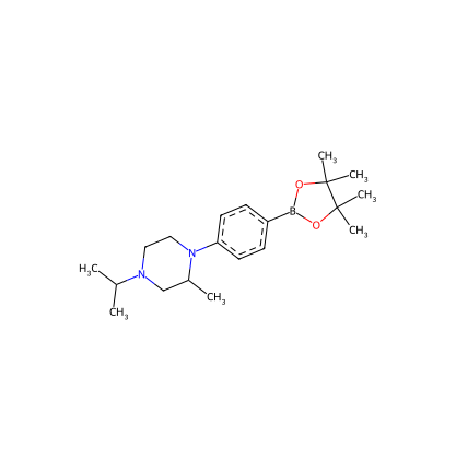 CC(C)N1CCN(c2ccc(B3OC(C)(C)C(C)(C)O3)cc2)C(C)C1